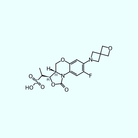 CC([C@@H]1OC(=O)N2c3cc(F)c(N4CC5(COC5)C4)cc3OC[C@@H]12)S(=O)(=O)O